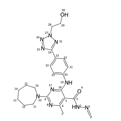 C=NNC(=O)c1c(C)nc(N2CCCCCC2)nc1Nc1ccc(-c2nnn(CCO)n2)cc1